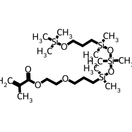 C=C(C)C(=O)OCCOCCC[Si](C)(C)O[Si](C)(C)O[Si](C)(C)CCCO[Si](C)(C)C